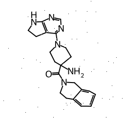 NC1(C(=O)N2CCc3ccccc3C2)CCN(c2ncnc3c2CCN3)CC1